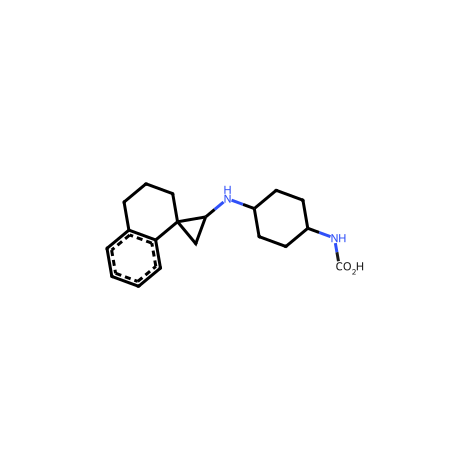 O=C(O)NC1CCC(NC2CC23CCCc2ccccc23)CC1